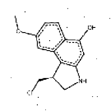 COc1ccc2c(O)cc3c(c2c1)[C@H](CCl)CN3